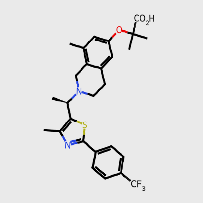 Cc1cc(OC(C)(C)C(=O)O)cc2c1CN([C@H](C)c1sc(-c3ccc(C(F)(F)F)cc3)nc1C)CC2